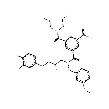 CCCN(CCC)C(=O)c1cc(C(N)=O)cc(C(=O)N(Cc2cccc(OC)c2)C[C@@H](O)[C@@H](N)Cc2ccc(F)c(C)c2)c1